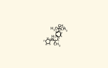 CC(Cc1ccc(C(C)(C)C)cc1)NC1CCCC1